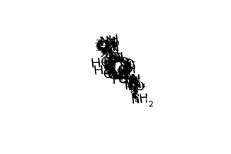 NCCn1cnc2c(ncn2[C@@H]2O[C@@H]3COP(=O)(S)O[C@H]4[C@@H](O)[C@H](n5cc6c7c(ncnc75)NCCC6)O[C@@H]4COC(=O)O[C@@H]2[C@@H]3O)c1=O